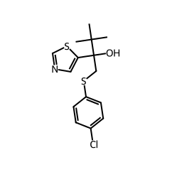 CC(C)(C)C(O)(CSc1ccc(Cl)cc1)c1cncs1